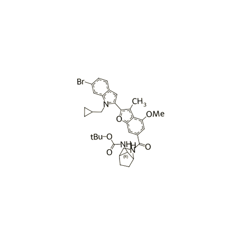 COc1cc(C(=O)N2CC3CCC2[C@@H]3NC(=O)OC(C)(C)C)cc2oc(-c3cc4ccc(Br)cc4n3CC3CC3)c(C)c12